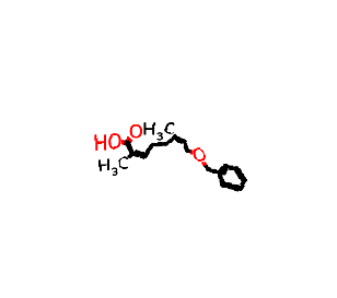 CC(=CCOCc1ccccc1)CCC=C(C)C(=O)O